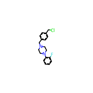 Fc1ccccc1N1CCN(Cc2ccc(CCl)cc2)CC1